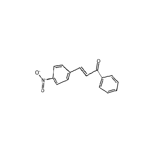 O=C(C=Cc1ccc([N+](=O)[O-])cc1)c1ccccc1